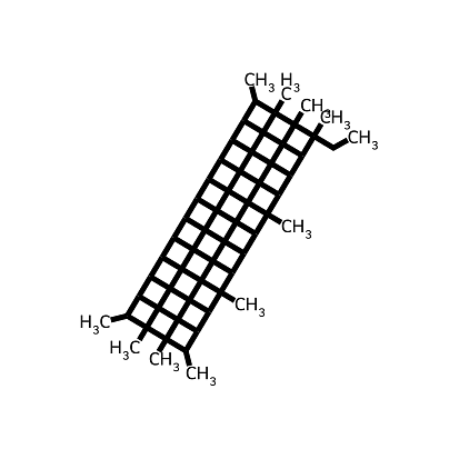 CCC1(C)C2C3C4C5(C)C6C7C8C9(C)C%10C%11C(C)C%12(C)C%13(C)C(C)C%14C%15C%16C%17C%18C%19C%20C%21C%22C%23C(C)C%24(C)C1(C)C21C%23%24C%222C31C41C%212C%202C%193C%184C%17%18C%16%17C%15%16C%14%13C%11%12C%10%16C9%17C8%18C74C63C512